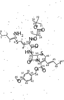 CCC/C=C(\N)S/C=C(C)/C(=N/OC(C)(C)C(=O)OC(C)(C)C)C(=O)N[C@@H]1C(=O)N2C(C(=O)OCc3ccc(OC)cc3)=C(/C=C/CI)CSC12